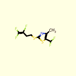 Cc1nc(SCCC(F)=C(F)F)sc1C(F)F